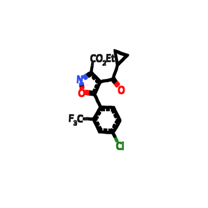 CCOC(=O)c1noc(-c2ccc(Cl)cc2C(F)(F)F)c1C(=O)C1CC1